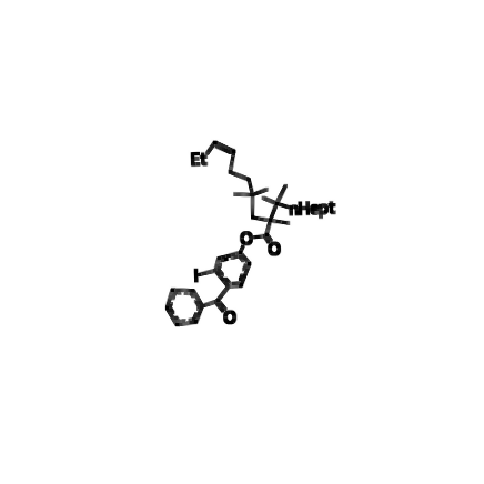 CC/C=C\CCC(C)(C)CC(C)(C(=O)Oc1ccc(C(=O)c2ccccc2)c(I)c1)C(C)(C)CCCCCCC